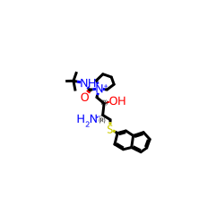 CC(C)(C)NC(=O)[N+]1(C[C@@H](O)[C@@H](N)CSc2ccc3ccccc3c2)CCCCC1